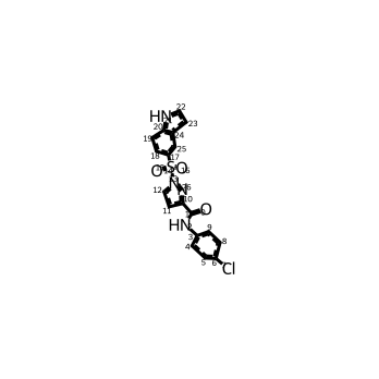 O=C(Nc1ccc(Cl)cc1)c1ccn(S(=O)(=O)c2ccc3[nH]ccc3c2)n1